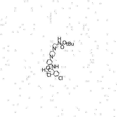 C[C@@H](Nc1cc(N2CCC(N3CCC(NC(=O)OC(C)(C)C)C3)CC2)ccc1Cl)c1ccc(Cl)cc1Cl